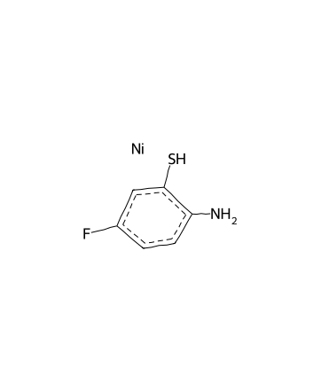 Nc1ccc(F)cc1S.[Ni]